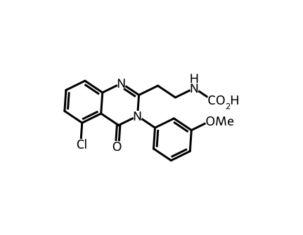 COc1cccc(-n2c(CCNC(=O)O)nc3cccc(Cl)c3c2=O)c1